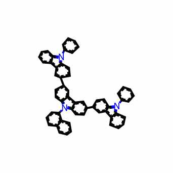 c1ccc(-n2c3ccccc3c3cc(-c4ccc5c(c4)c4cc(-c6ccc7c(c6)c6ccccc6n7-c6ccccc6)ccc4n5-c4cccc5ccccc45)ccc32)cc1